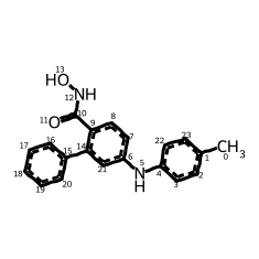 Cc1ccc(Nc2ccc(C(=O)NO)c(-c3ccccc3)c2)cc1